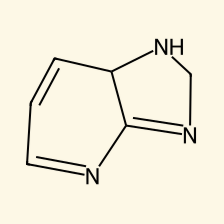 C1=CC2NCN=C2N=C1